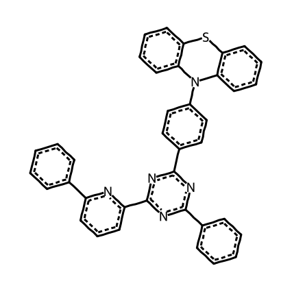 c1ccc(-c2cccc(-c3nc(-c4ccccc4)nc(-c4ccc(N5c6ccccc6Sc6ccccc65)cc4)n3)n2)cc1